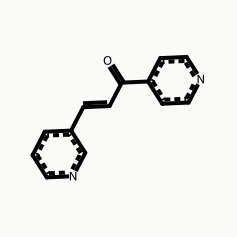 O=C(C=Cc1cccnc1)c1ccncc1